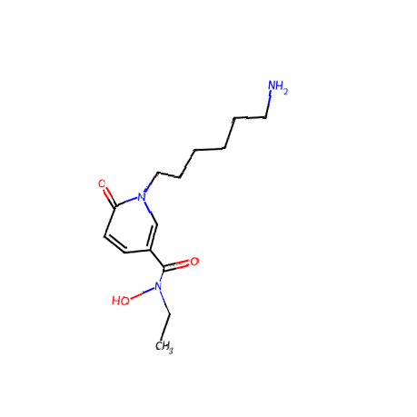 CCN(O)C(=O)c1ccc(=O)n(CCCCCCN)c1